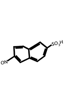 O=Nc1ccc2cc(S(=O)(=O)O)ccc2c1